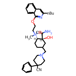 CCCCc1cc2ccccc2c(OCC[N+](C)(C)[C@H]2CCC(CN3CCC(C#N)(c4ccccc4)CC3)C[C@@]2(O)C(N)=O)n1